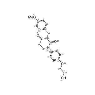 COc1ccc(CN2C(=O)CCN(c3ccc(OCCO)cc3)C2=O)cc1